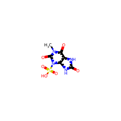 Cn1c(=O)c2[nH]c(=O)[nH]c2n(S(=O)(=O)O)c1=O